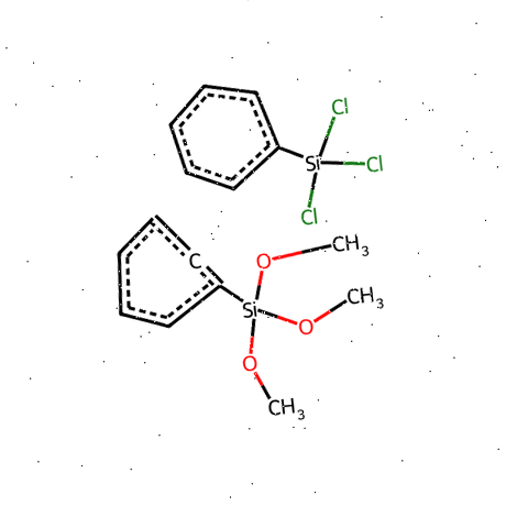 CO[Si](OC)(OC)c1ccccc1.Cl[Si](Cl)(Cl)c1ccccc1